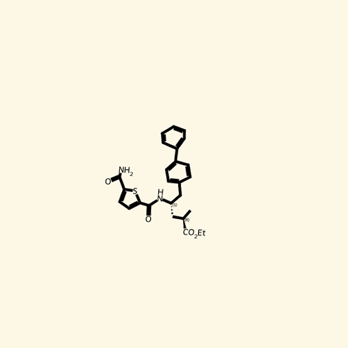 CCOC(=O)[C@H](C)C[C@@H](Cc1ccc(-c2ccccc2)cc1)NC(=O)c1ccc(C(N)=O)s1